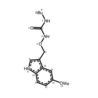 CCCCNC(=O)NOCc1c[nH]c2ccc(OC)cc12